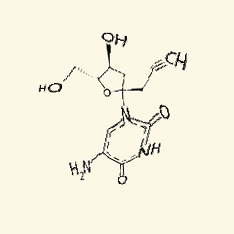 C#CC[C@]1(n2cc(N)c(=O)[nH]c2=O)C[C@H](O)[C@@H](CO)O1